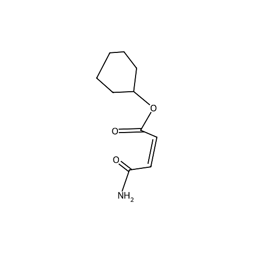 NC(=O)/C=C\C(=O)OC1CCCCC1